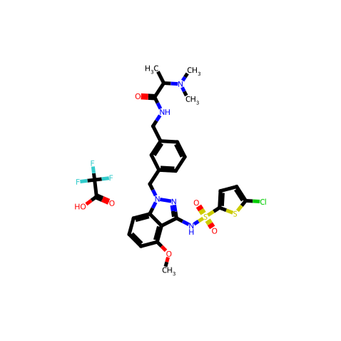 COc1cccc2c1c(NS(=O)(=O)c1ccc(Cl)s1)nn2Cc1cccc(CNC(=O)C(C)N(C)C)c1.O=C(O)C(F)(F)F